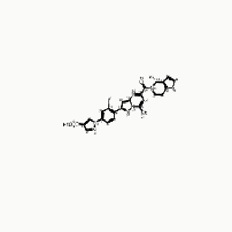 CCOC(=O)c1cnn(-c2ccc(-c3cc4nc(C(=O)N5CCc6sccc6[C@H]5C)cc(CC)n4n3)c(F)c2)c1